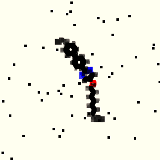 CCCc1ccc(-c2ccc(-c3ncc(OCCCCCCC[C@@H](C)CC)cn3)cc2)cc1